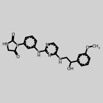 COc1cccc(C(O)CNc2ccnc(Nc3cccc(N4C(=O)CNC4=O)c3)n2)c1